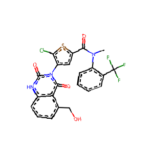 CN(C(=O)c1cc(-n2c(=O)[nH]c3cccc(CO)c3c2=O)c(Cl)s1)c1ccccc1C(F)(F)F